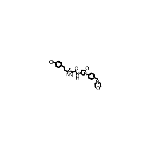 O=C(N[C@@H]1CC(=O)N(c2ccc(CN3CCOCC3)cc2)C1)c1nnc(CCc2ccc(Cl)cc2)s1